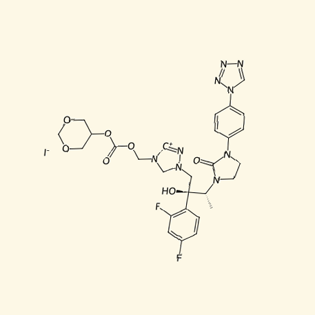 C[C@@H](N1CCN(c2ccc(-n3cnnn3)cc2)C1=O)[C@@](O)(CN1CN(COC(=O)OC2COCOC2)[C+]=N1)c1ccc(F)cc1F.[I-]